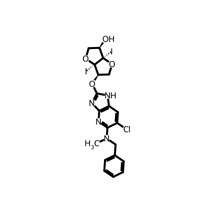 CN(Cc1ccccc1)c1nc2nc(O[C@@H]3CO[C@]4(I)[C@H](O)CO[C@]34I)[nH]c2cc1Cl